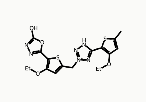 CCOc1cc(C)sc1-c1n[n+](Cc2cc(OCC)c(-c3nnc(O)o3)s2)n[nH]1